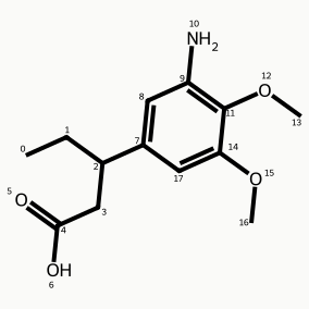 CCC(CC(=O)O)c1cc(N)c(OC)c(OC)c1